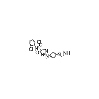 CN(c1ccc(N2CCNCC2)cc1)c1ncc2c(n1)OCN(c1c(Cl)cccc1Cl)C2=O